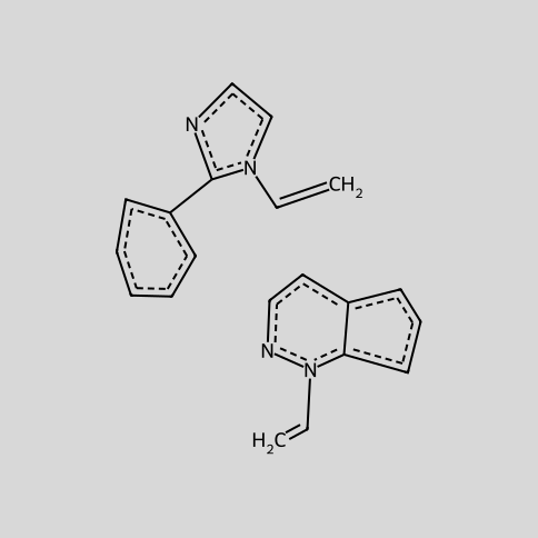 C=Cn1ccnc1-c1ccccc1.C=Cn1nccc2cccc1-2